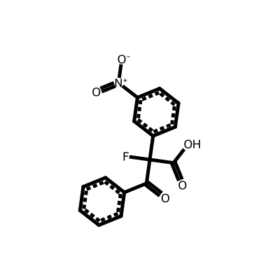 O=C(O)C(F)(C(=O)c1ccccc1)c1cccc([N+](=O)[O-])c1